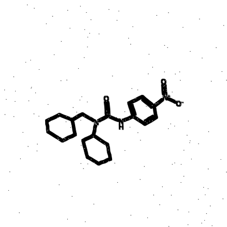 O=C(Nc1ccc([N+](=O)[O-])cc1)N(CC1CCCCC1)C1CCCCC1